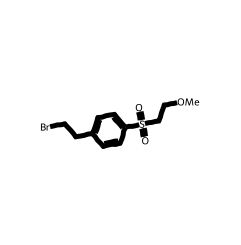 COCCS(=O)(=O)c1ccc(CCBr)cc1